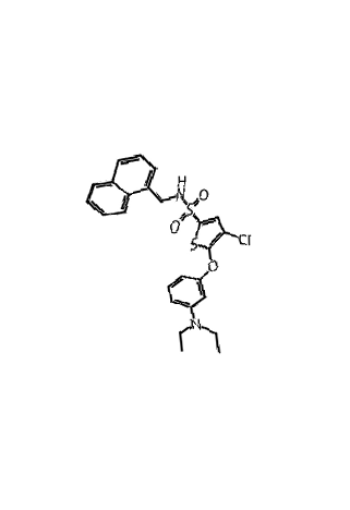 CCN(CC)c1cccc(Oc2sc(S(=O)(=O)NCc3cccc4ccccc34)cc2Cl)c1